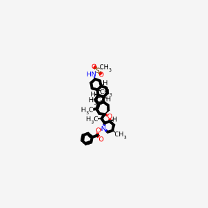 CC1=C2C[C@H]3[C@@H](CC[C@@H]4C[C@H](NS(C)(=O)=O)CC[C@@]43C)[C@]2(C)CC[C@@]2(C1)O[C@@H]1C[C@H](C)CN(OC(=O)c3ccccc3)C1[C@H]2C